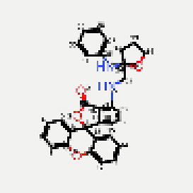 O=C1OC2(c3ccccc3Oc3ccccc32)c2cccc(NCC3(Nc4ccccc4)CCCO3)c21